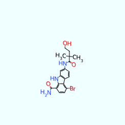 CC(C)(CCO)C(=O)Nc1ccc2c(c1)[nH]c1c(C(N)=O)ccc(Br)c12